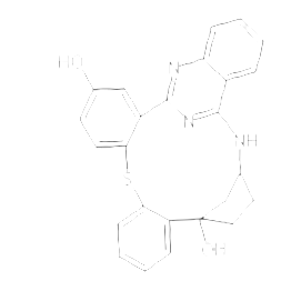 Oc1ccc2c(c1)-c1nc(c3ccccc3n1)NC1CCC(O)(C1)c1ccccc1S2